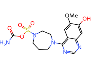 COc1cc2c(N3CCCN(S(=O)(=O)OC(N)=O)CC3)ncnc2cc1O